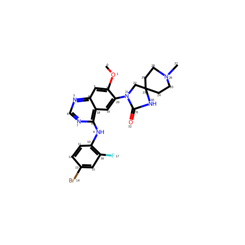 COc1cc2ncnc(Nc3ccc(Br)cc3F)c2cc1N1CC2(CCN(C)CC2)NC1=O